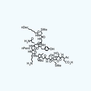 CCCCCCCCCCCCCCCC(=O)N[C@@H](CCSC)C(=O)NCC(=O)N[C@@H](Cc1ccc(O)cc1)C(=O)N[C@@H](CCC(N)=O)C(=O)N[C@@H](CCCCC)C(=O)N[C@H](CCCCN)C(=O)N[C@H]1CC(C)N([C@@H](CCCC)C(=O)N[C@@H](CO)C(=O)N[C@@H](CCSC)C(=O)N[C@H](C(=O)N[C@@H](CC(=O)O)C(C)=O)[C@@H](C)O)C1=O